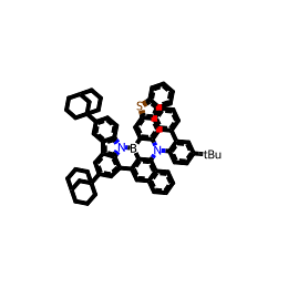 CC(C)(C)c1ccc(N2c3cc4c(cc3B3c5c(cc6ccccc6c52)-c2cc(C56CCCC(CCC5)C6)cc5c6cc(C78CCCC(CCC7)C8)ccc6n3c25)sc2ccccc24)c(-c2ccccc2)c1